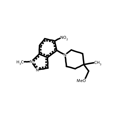 COCC1(C)CCN(c2c([N+](=O)[O-])ccc3c2cnn3C)CC1